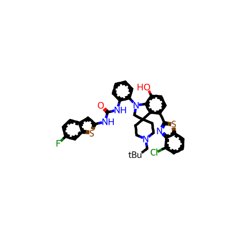 CC(C)(C)CN1CCC2(CC1)CN(c1ccccc1NC(=O)Nc1cc3ccc(F)cc3s1)c1c(O)ccc(-c3nc4c(Cl)cccc4s3)c12